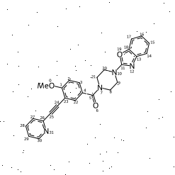 COc1ccc(C(=O)N2CCN(c3nc4ccccc4o3)CC2)cc1C#Cc1ccccn1